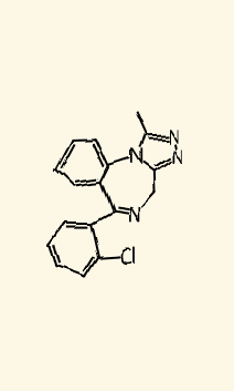 Cc1nnc2n1-c1ccccc1C(c1ccccc1Cl)=NC2